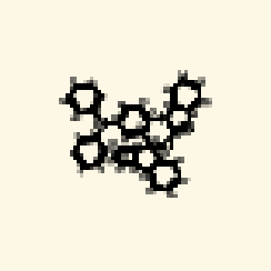 c1ccc(N(c2ccccc2)c2ccc3c(c2)C2(Oc4nc5ccccc5n4-3)c3ccccc3-c3ccccc32)cc1